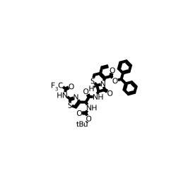 C=CC1=C(C(=O)OC(c2ccccc2)c2ccccc2)N2C(=O)C(NC(=O)C(NC(=O)OC(C)(C)C)c3csc(NC(=O)C(F)(F)F)n3)[C@@H]2SC1